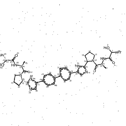 CC(C)C(O)C(=O)N[C@@H](C)C(=O)N1CCCC1c1ncc(-c2ccc(-c3ccc(-c4cnc([C@@H]5CCCN5C(=O)[C@H](C)NC(=O)[C@H](O)C(C)C)[nH]4)cc3)cc2)[nH]1